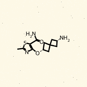 Cc1nc(O[C@H]2CC3(C[C@@H](N)C3)C2)c(C(N)=O)s1